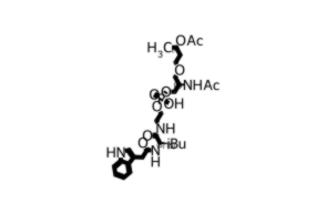 CC[C@H](C)[C@H](NC(=O)Cc1c[nH]c2ccccc12)C(=O)NCCOP(=O)(O)OC[C@@H](COCC[C@@H](C)OC(C)=O)NC(C)=O